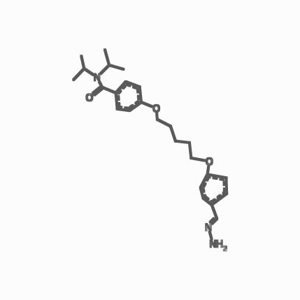 CC(C)N(C(=O)c1ccc(OCCCCCOc2ccc(C=NN)cc2)cc1)C(C)C